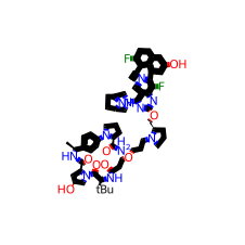 C#Cc1c(F)ccc2cc(O)cc(-c3ncc4c(N5CC6CCC(C5)N6)nc(OC[C@@H]5CCCN5CCCOCCC(=O)N[C@H](C(=O)N5C[C@H](O)C[C@H]5C(=O)N[C@@H](C)c5ccc(N6CCC[C@H]6C(N)=O)cc5)C(C)(C)C)nc4c3F)c12